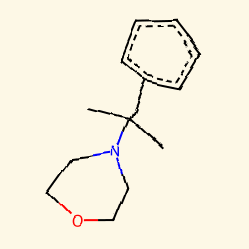 CC(C)(c1ccccc1)N1CCOCC1